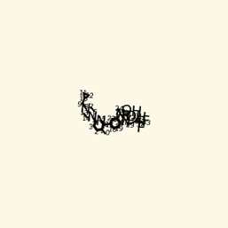 Cc1ccc(N2CCN(CC3CC3)CC2)nc1-c1ccc2c(c1)N(C)S(O)(O)N2CC1CC1(F)F